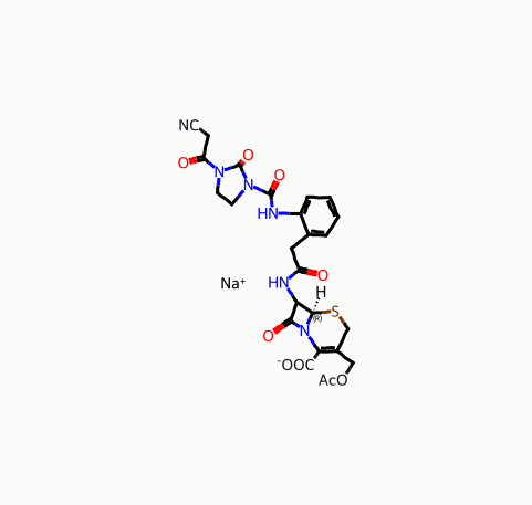 CC(=O)OCC1=C(C(=O)[O-])N2C(=O)C(NC(=O)Cc3ccccc3NC(=O)N3CCN(C(=O)CC#N)C3=O)[C@H]2SC1.[Na+]